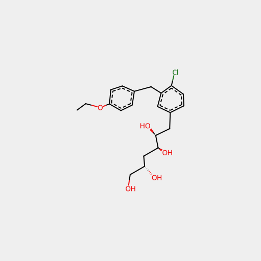 CCOc1ccc(Cc2cc(C[C@H](O)[C@@H](O)C[C@H](O)CO)ccc2Cl)cc1